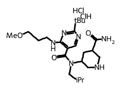 COCCCNc1nc(C(C)(C)C)ncc1C(=O)N(CC(C)C)C1CNCC(C(N)=O)C1.Cl.Cl